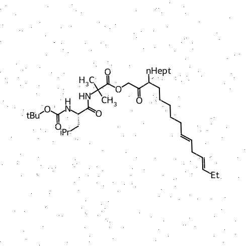 CCC=CCC=CCCCCCC(CCCCCCC)C(=O)COC(=O)C(C)(C)NC(=O)[C@H](CC(C)C)NC(=O)OC(C)(C)C